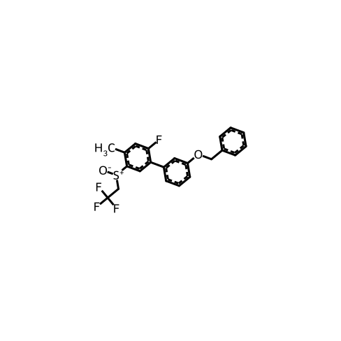 Cc1cc(F)c(-c2cccc(OCc3ccccc3)c2)cc1[S+]([O-])CC(F)(F)F